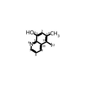 Cc1cc(O)c2ncccc2c1I